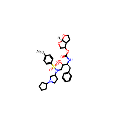 COc1ccc(S(=O)(=O)N(C[C@@H](O)[C@H](Cc2ccccc2)NC(=O)OC2CO[C@H]3OCCC23)C2CCN(C3CCCC3)C2)cc1